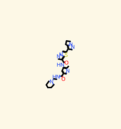 Cc1ncc(C(=O)NCCN2CCCCC2)cc1NC(=O)c1cnn2cc(-c3cnn4c3CCC4)sc12